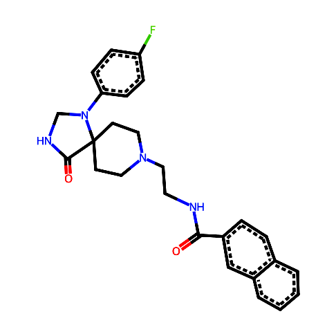 O=C(NCCN1CCC2(CC1)C(=O)NCN2c1ccc(F)cc1)c1ccc2ccccc2c1